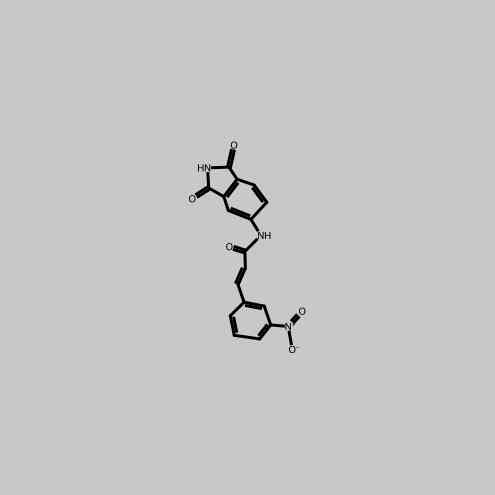 O=C(C=Cc1cccc([N+](=O)[O-])c1)Nc1ccc2c(c1)C(=O)NC2=O